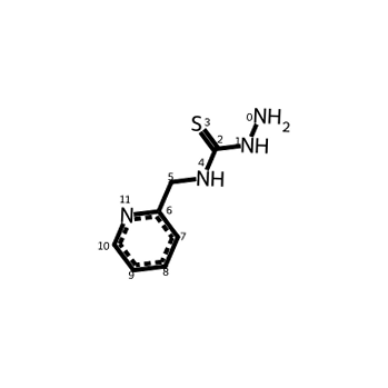 NNC(=S)NCc1ccccn1